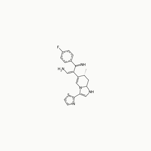 C[C@@H]1CC2NC=C(c3nccs3)N2C=C1/C(=C/N)C(=N)c1ccc(F)cc1